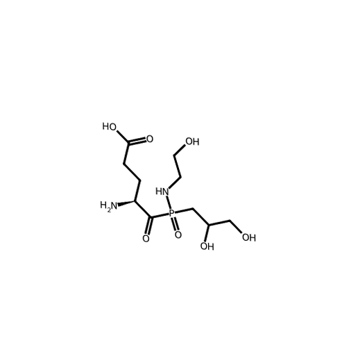 N[C@@H](CCC(=O)O)C(=O)P(=O)(CC(O)CO)NCCO